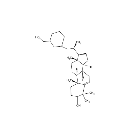 C[C@H](CN1CCCC(CO)C1)[C@H]1CC[C@H]2[C@@H]3CC=C4C(C)(C)C(O)CC[C@]4(C)[C@H]3CC[C@]12C